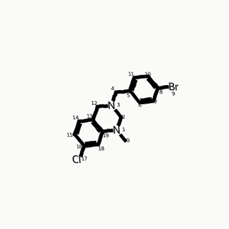 CN1CN(Cc2ccc(Br)cc2)Cc2ccc(Cl)cc21